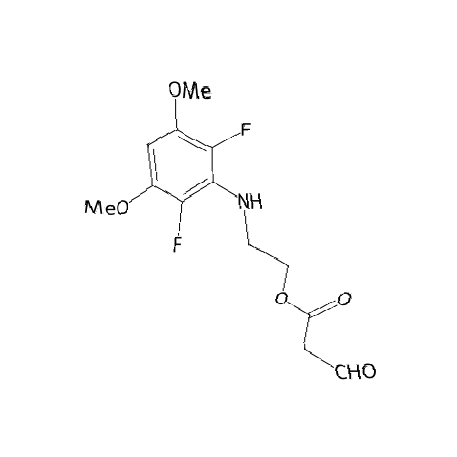 COc1cc(OC)c(F)c(NCCOC(=O)CC=O)c1F